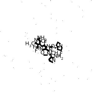 Cc1nc(N)c(Cl)c(-c2nc3c4c(nc(OC[C@@]56CCCN5C[C@H](F)C6)nc4c2F)N([C@H](C)c2cccnc2N)CCO3)c1C(F)(F)F